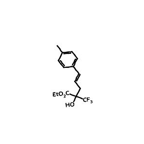 CCOC(=O)C(O)(CC=Cc1ccc(C)cc1)C(F)(F)F